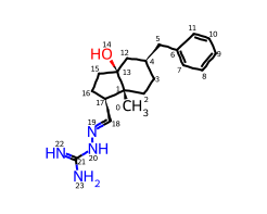 C[C@]12CC[C@H](Cc3ccccc3)C[C@@]1(O)CC[C@@H]2/C=N/NC(=N)N